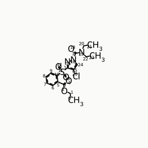 CCOC(=O)c1ccccc1S(=O)(=O)c1nn(C(=O)N(CC)CC)cc1Cl